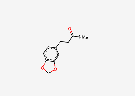 CNC(=O)CCc1ccc2c(c1)OCO2